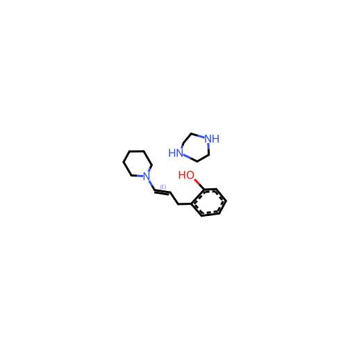 C1CNCCN1.Oc1ccccc1C/C=C/N1CCCCC1